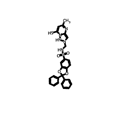 CC1=NC2=CN(CNS(=O)(=O)c3ccc4c(c3)OC(c3ccccc3)(c3ccccc3)O4)NN2C(S)=C1